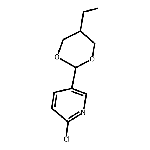 CCC1COC(c2ccc(Cl)nc2)OC1